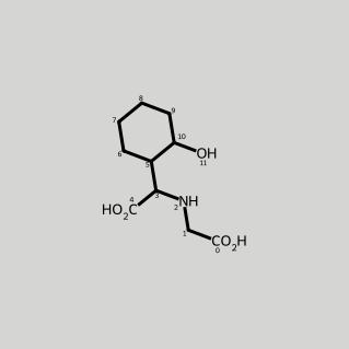 O=C(O)CNC(C(=O)O)C1CCCCC1O